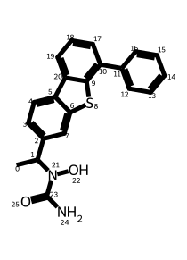 CC(c1ccc2c(c1)sc1c(-c3ccccc3)cccc12)N(O)C(N)=O